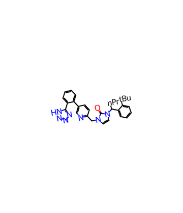 CCCC(c1ccccc1C(C)(C)C)n1ccn(Cc2ccc(-c3ccccc3-c3nnn[nH]3)cn2)c1=O